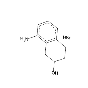 Br.Nc1cccc2c1CC(O)CC2